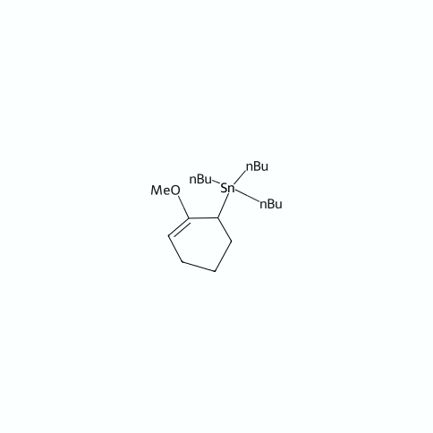 CCC[CH2][Sn]([CH2]CCC)([CH2]CCC)[CH]1CCCC=C1OC